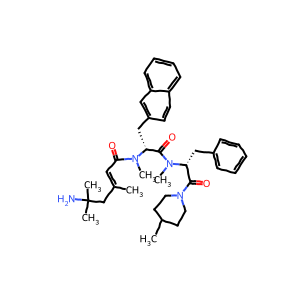 C/C(=C\C(=O)N(C)[C@H](Cc1ccc2ccccc2c1)C(=O)N(C)[C@H](Cc1ccccc1)C(=O)N1CCC(C)CC1)CC(C)(C)N